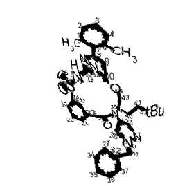 Cc1cccc(C)c1-c1cc2nc(n1)NS(=O)(=O)c1cccc(c1)C(=O)N(c1cnn(Cc3ccccc3)c1)[C@H](CCC(C)(C)C)CO2